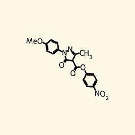 COc1ccc(N2N=C(C)C(C(=O)Oc3ccc([N+](=O)[O-])cc3)C2=O)cc1